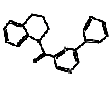 O=C(c1cncc(-c2ccccc2)n1)N1CCCc2ccccc21